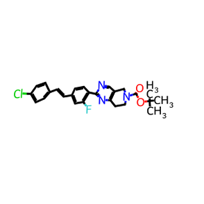 CC(C)(C)OC(=O)N1CCc2nc(-c3ccc(C=Cc4ccc(Cl)cc4)cc3F)ncc2C1